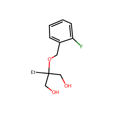 CCC(CO)(CO)OCc1ccccc1F